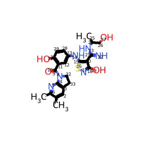 Cc1cc2c(nc1C)N(C(=O)c1cc(Nc3snc(O)c3C(=N)NC(C)CO)ccc1O)CC2